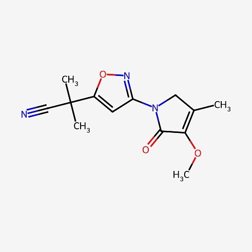 COC1=C(C)CN(c2cc(C(C)(C)C#N)on2)C1=O